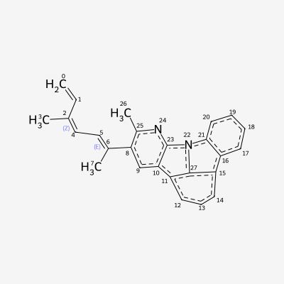 C=C/C(C)=C\C=C(/C)c1cc2c3cccc4c5ccccc5n(c2nc1C)c43